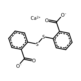 O=C([O-])c1ccccc1SSc1ccccc1C(=O)[O-].[Ca+2]